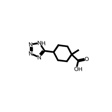 CC1(C(=O)O)CCC(c2nnn[nH]2)CC1